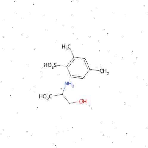 Cc1ccc(S(=O)(=O)O)c(C)c1.NC(CO)C(=O)O